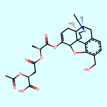 CC(=O)O[C@@H](CC(=O)O[C@@H](C)C(=O)OC1=CC[C@@]2(O)[C@H]3Cc4ccc(CO)c5c4C2(CCN3C)C1O5)C(=O)O